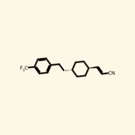 N#CC=C[C@H]1CC[C@H](CCc2ccc(C(F)(F)F)cc2)CC1